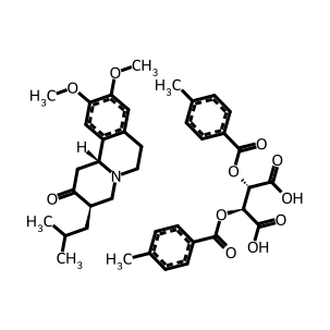 COc1cc2c(cc1OC)[C@H]1CC(=O)[C@H](CC(C)C)CN1CC2.Cc1ccc(C(=O)O[C@H](C(=O)O)[C@H](OC(=O)c2ccc(C)cc2)C(=O)O)cc1